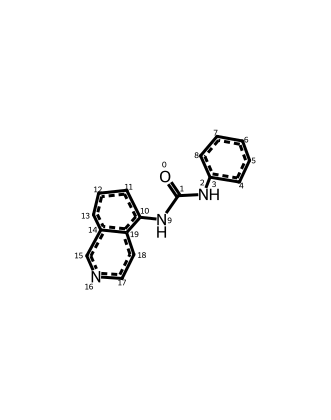 O=C(Nc1ccccc1)Nc1cccc2cnccc12